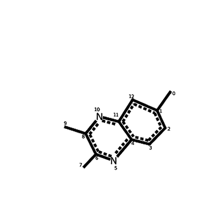 [CH2]c1ccc2nc(C)c(C)nc2c1